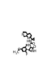 COc1cc(F)c([C@@H]2CNC(=O)[C@H]2NC(=O)NC2(c3ccc4ccncc4n3)CC2)c(F)c1